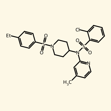 CCc1ccc(S(=O)(=O)N2CCC(N(c3cc(C)ccn3)S(=O)(=O)c3ccccc3Cl)CC2)cc1